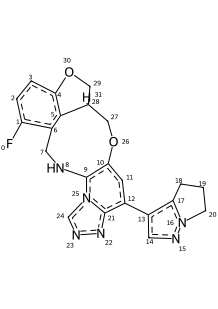 Fc1ccc2c3c1CNc1c(cc(-c4cnn5c4CCC5)c4nncn14)OC[C@@H]3CO2